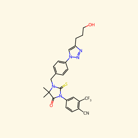 CC1(C)C(=O)N(c2ccc(C#N)c(C(F)(F)F)c2)C(=S)N1Cc1ccc(-n2cc(CCCO)nn2)cc1